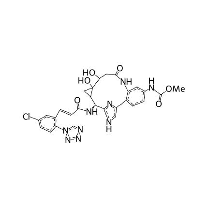 COC(=O)Nc1ccc2c(c1)NC(=O)CC(O)C1(O)CC1[C@H](NC(=O)/C=C/c1cc(Cl)ccc1-n1cnnn1)c1nc-2c[nH]1